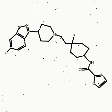 O=C(NC1CCC(F)(CCN2CCC(c3nsc4cc(F)ccc34)CC2)CC1)c1ncco1